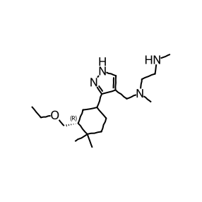 CCOC[C@@H]1CC(c2n[nH]cc2CN(C)CCNC)CCC1(C)C